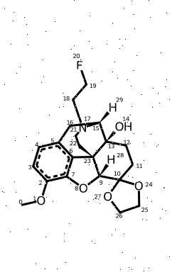 COc1ccc2c3c1O[C@H]1C4(CC[C@@]5(O)[C@@H](C2)N(CCF)CC[C@]315)OCCO4